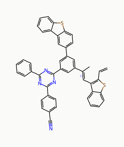 C=Cc1sc2ccccc2c1/C=C(\C)c1cc(-c2ccc3sc4ccccc4c3c2)cc(-c2nc(-c3ccccc3)nc(-c3ccc(C#N)cc3)n2)c1